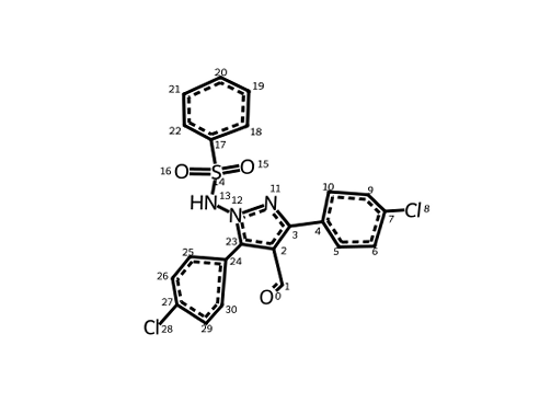 O=Cc1c(-c2ccc(Cl)cc2)nn(NS(=O)(=O)c2ccccc2)c1-c1ccc(Cl)cc1